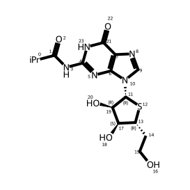 CC(C)C(=O)Nc1nc2c(ncn2[C@@H]2S[C@H](CCO)[C@@H](O)[C@H]2O)c(=O)[nH]1